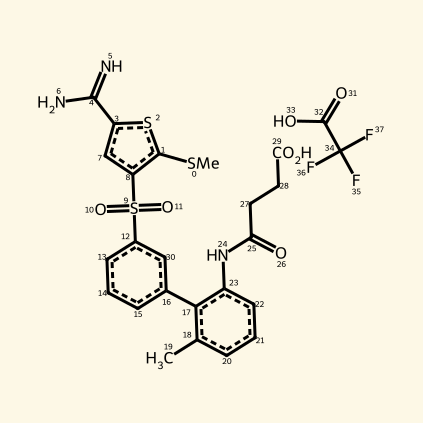 CSc1sc(C(=N)N)cc1S(=O)(=O)c1cccc(-c2c(C)cccc2NC(=O)CCC(=O)O)c1.O=C(O)C(F)(F)F